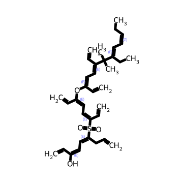 C=CC/C(=C\C=C(\O)C=C)S(=O)(=O)/C(C=C)=C/C=C(\C=C)O/C(C=C)=C/C=C(\C=C)C(C)(C)/C(=C/C=C\CC)CC